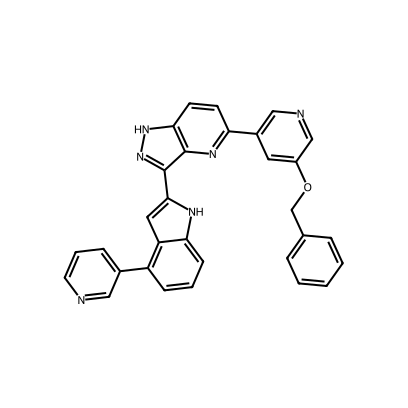 c1ccc(COc2cncc(-c3ccc4[nH]nc(-c5cc6c(-c7cccnc7)cccc6[nH]5)c4n3)c2)cc1